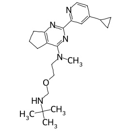 CN(CCOCNC(C)(C)C)c1nc(-c2cc(C3CC3)ccn2)nc2c1CCC2